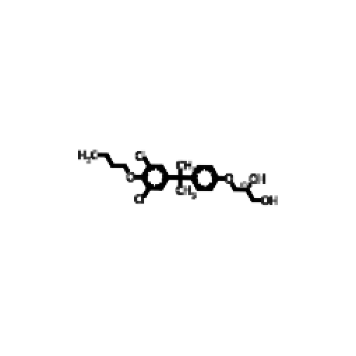 CCCCOc1c(Cl)cc(C(C)(C)c2ccc(OC[C@@H](O)CO)cc2)cc1Cl